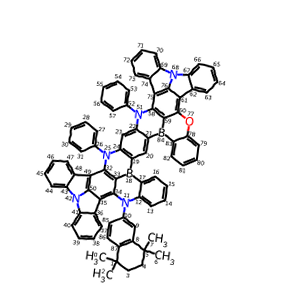 CC1(C)CCC(C)(C)c2cc(N3c4ccccc4B4c5cc6c(cc5N(c5ccccc5)c5c4c3c3c4ccccc4n4c7ccccc7c5c34)N(c3ccccc3)c3c4c(c5c7ccccc7n7c8ccccc8c3c57)Oc3ccccc3B64)ccc21